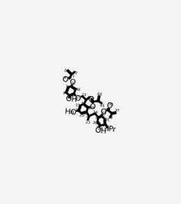 C=C(C)C(=O)Oc1ccc(O)c(OCC(C)c2cc(O)cc(C(C)Cc3cc(O)c(C(C)C)cc3OC(=O)C(=C)C)c2OC(=O)C(=C)C)c1